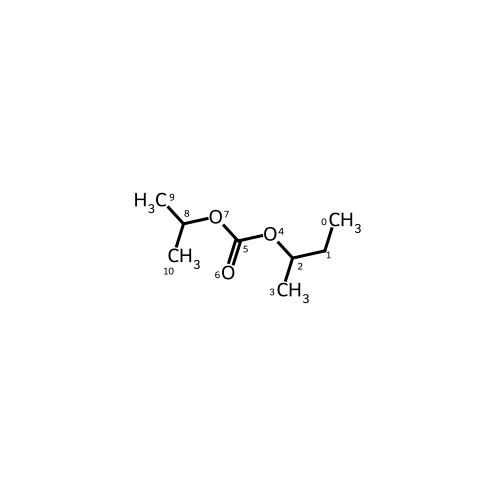 CCC(C)OC(=O)OC(C)C